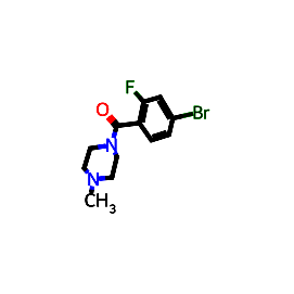 CN1CCN(C(=O)c2ccc(Br)cc2F)CC1